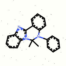 CC1(C)N(c2ccccc2)c2ccccc2-c2nc3ccccc3n21